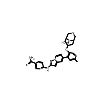 Cc1cc(-c2ccn3nc(Nc4ccc(C(N)=O)cn4)cc3c2)c(OC2CC3COCC(C2)N3C(=O)O)cn1